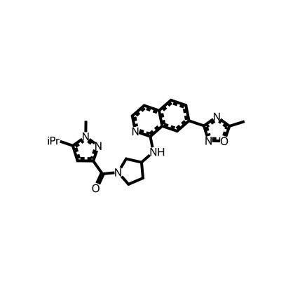 Cc1nc(-c2ccc3ccnc(NC4CCN(C(=O)c5cc(C(C)C)n(C)n5)C4)c3c2)no1